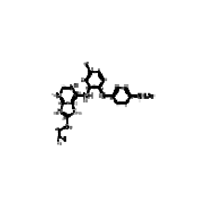 CC(=O)Nc1ccc(Sc2ccc(C)cc2Nc2ncnc3nc(SCC#N)sc23)cc1